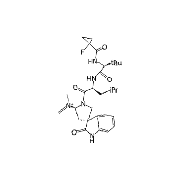 C=[N+](C)[C@@H]1C[C@@]2(CN1C(=O)[C@H](CC(C)C)NC(=O)[C@@H](NC(=O)C1(F)CC1)C(C)(C)C)C(=O)Nc1ccccc12